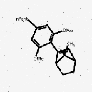 CCCCCc1cc(OC)c(C2=CC3CCC2C3(C)C)c(OC)c1